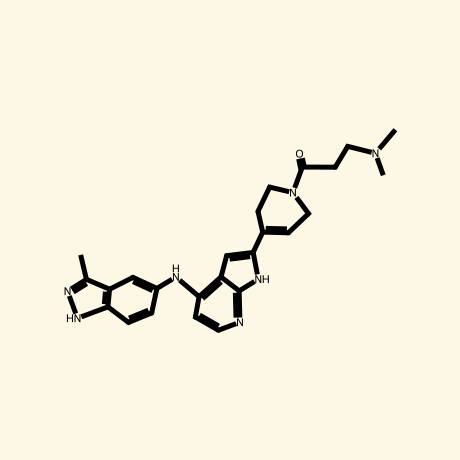 Cc1n[nH]c2ccc(Nc3ccnc4[nH]c(C5=CCN(C(=O)CCN(C)C)CC5)cc34)cc12